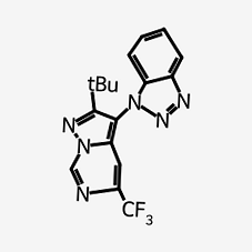 CC(C)(C)c1nn2cnc(C(F)(F)F)cc2c1-n1nnc2ccccc21